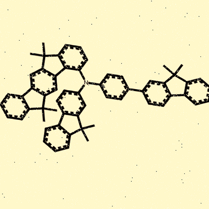 CC1(C)c2ccccc2-c2ccc(-c3ccc(N(c4ccc5c(c4)C(C)(C)c4ccccc4-5)c4cccc5c4-c4cc6c(cc4C5(C)C)-c4ccccc4C6(C)C)cc3)cc21